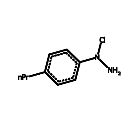 CCCc1ccc(N(N)Cl)cc1